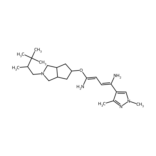 Cc1nn(C)cc1/C(N)=C/C=C(\N)OC1CC2CN(CC(C)C(C)(C)C)CC2C1